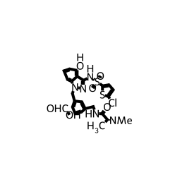 CN[C@H](C)C(=O)NCc1cccc(Cn2nc(NS(=O)(=O)c3ccc(Cl)s3)c3c(O)cccc32)c1.O=CO